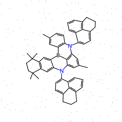 Cc1ccc2c(c1)B1c3cc4c(cc3N(c3ccc5c6c(cccc36)CCC5)c3cc(C)cc(c31)N2c1ccc2c3c(cccc13)CCC2)C(C)(C)CCC4(C)C